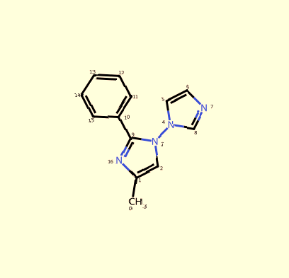 Cc1cn(-n2ccnc2)c(-c2ccccc2)n1